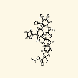 CCOC(=O)C(C)(C)Cn1cc2c(n1)CCC(C1=C(C(=O)OC)C(c3ccc(F)c(F)c3Cl)N=C(c3nccs3)N1)C2